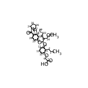 CCCc1c(OCC(=O)O)cccc1OC(Oc1ccc(C(=O)N2CCCC2)cc1)C(CCC)COC